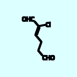 O=CCCC=C(Cl)C=O